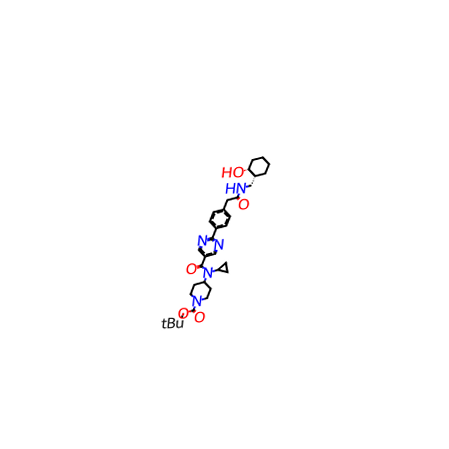 CC(C)(C)OC(=O)N1CCC(N(C(=O)c2cnc(-c3ccc(CC(=O)NC[C@H]4CCCC[C@H]4O)cc3)nc2)C2CC2)CC1